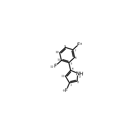 Fc1c[nH]c(-c2cc(F)ccc2F)c1